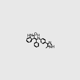 Cc1[nH]cnc1-c1ccc(N/C(=C2\C(=O)Nc3ccccc32)c2ccccc2)cc1